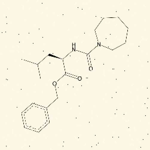 CC(C)C[C@@H](NC(=O)N1CCCCCC1)C(=O)OCc1ccccc1